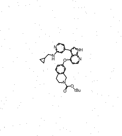 CC(C)(C)OC(=O)N1CCc2ccc(Oc3ccnc4[nH]cc(-c5ccnc(NCC6CC6)c5)c34)cc2C1